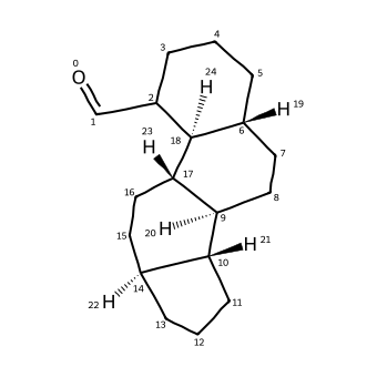 O=CC1CCC[C@@H]2CC[C@H]3[C@@H]4CCC[C@H]4CC[C@@H]3[C@@H]12